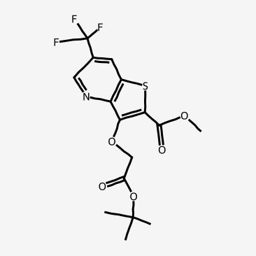 COC(=O)c1sc2cc(C(F)(F)F)cnc2c1OCC(=O)OC(C)(C)C